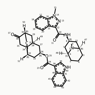 CN1[C@@H]2CCC[C@H]1C[C@@H](NC(=O)c1nn(C)c3ccccc13)C2.O=C(O[C@@H]1C[C@@H]2C[C@@H]3C[C@H](C1)N2CC3=O)c1c[nH]c2ccccc12